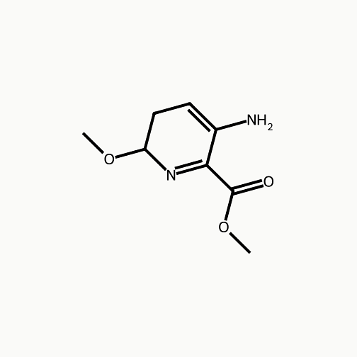 COC(=O)C1=NC(OC)CC=C1N